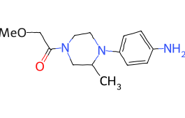 COCC(=O)N1CCN(c2ccc(N)cc2)C(C)C1